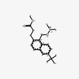 COC(=O)CCc1ccc2cc(C(C)(C)C)ccc2c1CO[SiH](C)C